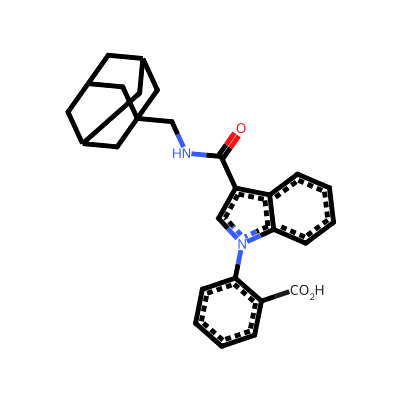 O=C(O)c1ccccc1-n1cc(C(=O)NCC23CC4CC(CC(C4)C2)C3)c2ccccc21